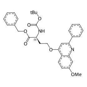 COc1ccc2c(OCC[C@H](NC(=O)OC(C)(C)C)C(=O)OCc3ccccc3)cc(-c3ccccc3)nc2c1